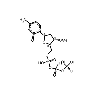 CO[C@@H]1C[C@H](n2ccc(N)nc2=O)O[C@@H]1COP(=O)(O)OP(=O)(O)OP(=O)(O)O